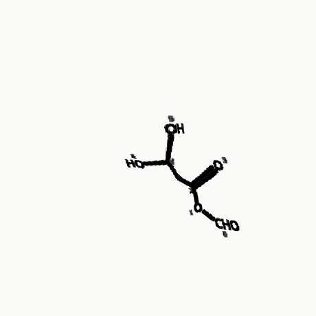 O=COC(=O)C(O)O